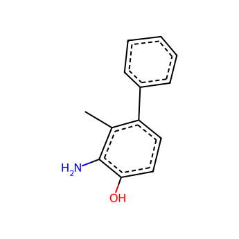 Cc1c(-c2ccccc2)ccc(O)c1N